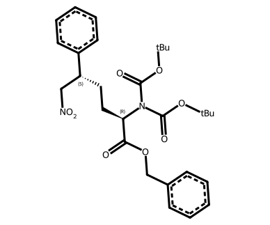 CC(C)(C)OC(=O)N(C(=O)OC(C)(C)C)[C@H](CC[C@H](C[N+](=O)[O-])c1ccccc1)C(=O)OCc1ccccc1